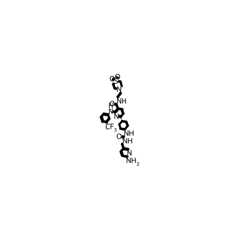 Nc1ccc(CNC(=O)N[C@H]2CC[C@@H](c3ccc(C(=O)NCCN4CCS(=O)(=O)CC4)c(Nc4cccc(C(F)(F)F)c4)n3)CC2)cn1